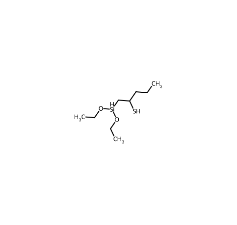 CCCC(S)C[SiH](OCC)OCC